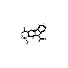 CC(=O)n1c2ccccc2c2cc(C(C)C)c([N+](=O)[O-])cc21